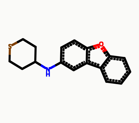 c1ccc2c(c1)oc1ccc(NC3CCSCC3)cc12